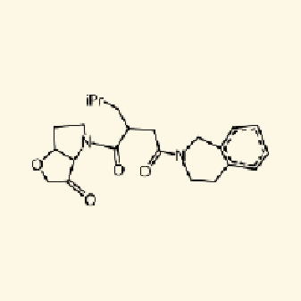 CC(C)CC(CC(=O)N1CCc2ccccc2C1)C(=O)N1CCC2OCC(=O)C21